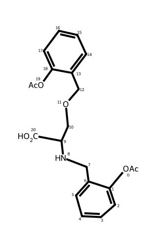 CC(=O)Oc1ccccc1CNC(COCc1ccccc1OC(C)=O)C(=O)O